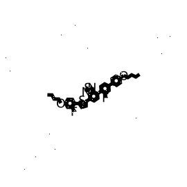 CCCCOc1ccc(-c2ccc(-c3ccc(-c4ccc(-c5ccc(OCCCC)cc5F)s4)c4nsnc34)c(F)c2)cc1